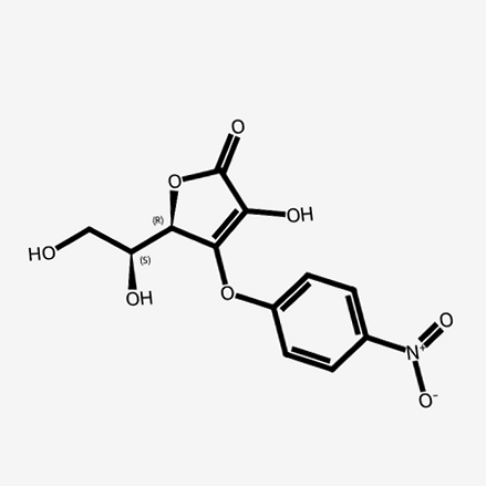 O=C1O[C@H]([C@@H](O)CO)C(Oc2ccc([N+](=O)[O-])cc2)=C1O